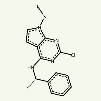 C[C@H](Nc1nc(Cl)nc2c1ccn2SI)c1ccccc1